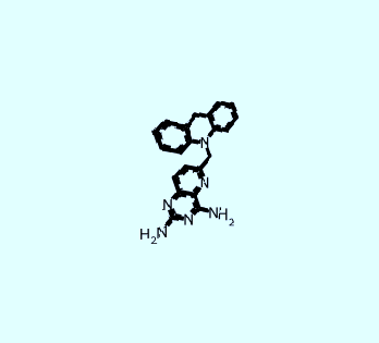 Nc1nc(N)c2nc(CN3c4ccccc4Cc4ccccc43)ccc2n1